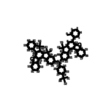 Cc1ccccc1-c1cc2c(c3c1oc1ccccc13)-c1ccc(N(c3ccc(C(C)(C)C)cc3)c3ccc4c(c3)C(C)(C)c3c5c(c6oc7ccccc7c6c3-4)-c3ccccc3C5(C)C)cc1C2(C)C